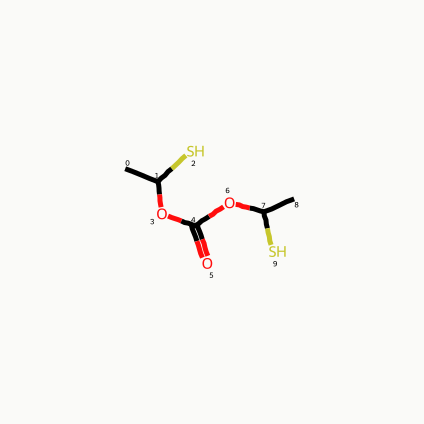 CC(S)OC(=O)OC(C)S